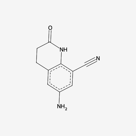 N#Cc1cc(N)cc2c1NC(=O)CC2